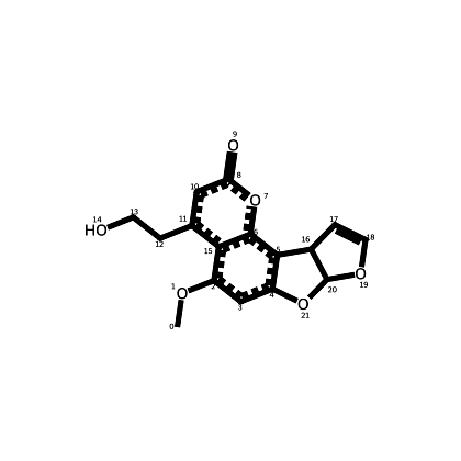 COc1cc2c(c3oc(=O)cc(CCO)c13)C1C=COC1O2